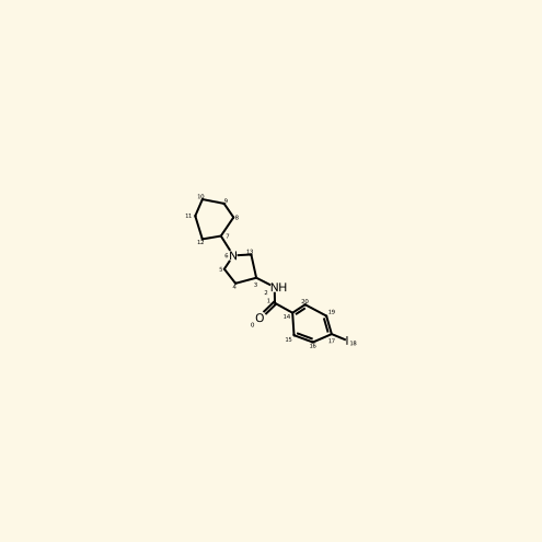 O=C(NC1CCN(C2CCCCC2)C1)c1ccc(I)cc1